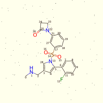 CNCc1cc(-c2ccccc2F)n(S(=O)(=O)c2cccc(N3CCC3=O)c2)c1